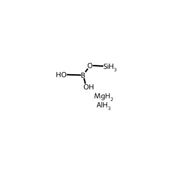 OB(O)O[SiH3].[AlH3].[MgH2]